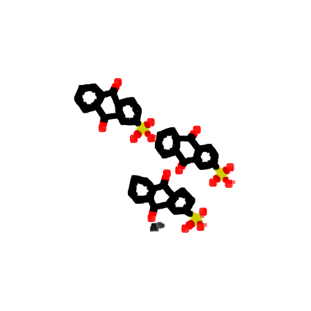 O=C1c2ccccc2C(=O)c2cc(S(=O)(=O)[O-])ccc21.O=C1c2ccccc2C(=O)c2cc(S(=O)(=O)[O-])ccc21.O=C1c2ccccc2C(=O)c2cc(S(=O)(=O)[O-])ccc21.[Al+3]